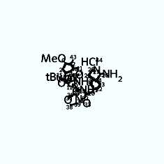 COc1cc(C)c(S(=O)(=O)N[C@@H](CC(=O)OC(C)(C)C)C(=O)NC(Cc2ccc3c(N)nccc3c2)C(=O)N2CCOCC2)c(C)c1C.Cl